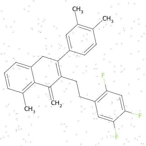 C=C1C(CCc2cc(F)c(F)cc2F)=C(c2ccc(C)c(C)c2)Cc2cccc(C)c21